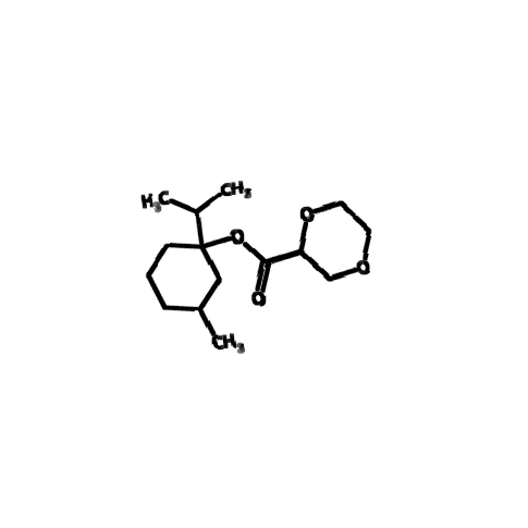 CC1CCCC(OC(=O)C2COCCO2)(C(C)C)C1